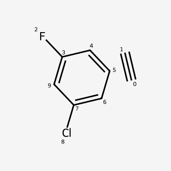 C#C.Fc1cccc(Cl)c1